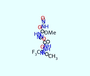 COc1cc(Nc2nccc(Oc3ccc(NC(=O)Nc4cc(C(F)(F)F)nn4-c4ccc(C)cc4)c4ccccc34)n2)cc(C(=O)NCCN2CCOCC2)c1